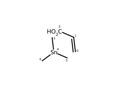 C=CC(=O)O.[CH3][Sn]([CH3])[CH3]